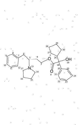 O=C(OCC[C@@H](Cc1ccccc1)N1CCCC1)C(O)(c1ccccc1)C1CCCC1